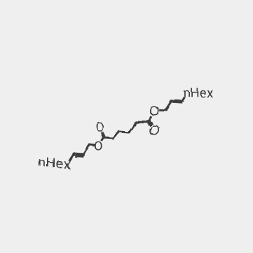 CCCCCC/C=C/COC(=O)CCCCC(=O)OC/C=C/CCCCCC